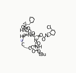 CC(C)(C)OC(=O)N[C@H]1CCCCC/C=C\[C@@H]2C[C@@]2(C(=O)NS(=O)(=O)C2(Cc3ccccc3)CC2)NC(=O)C2C[C@@H](OC(=O)N3Cc4cccc(Cl)c4C3)CN2C1=O